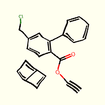 C#COC(=O)c1ccc(CCl)cc1-c1ccccc1.c1cc2ccc1-2